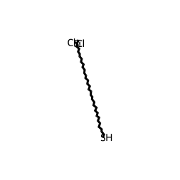 C[Si](Cl)(Cl)CCCCCCCCCCCCCCCCCCCCCCCCCCCCCCCCCCS